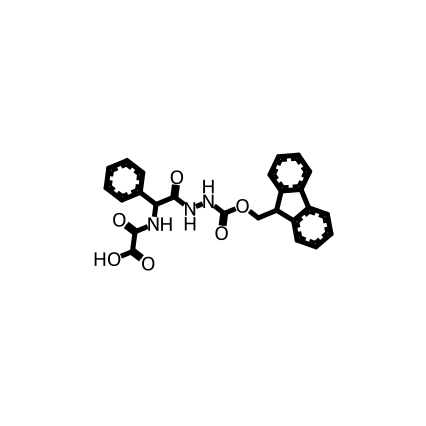 O=C(NNC(=O)C(NC(=O)C(=O)O)c1ccccc1)OCC1c2ccccc2-c2ccccc21